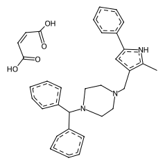 Cc1[nH]c(-c2ccccc2)cc1CN1CCN(C(c2ccccc2)c2ccccc2)CC1.O=C(O)/C=C\C(=O)O